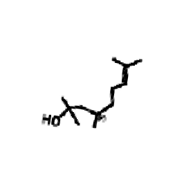 CC(C)=CCC[C@@H](C)CC(C)(C)O